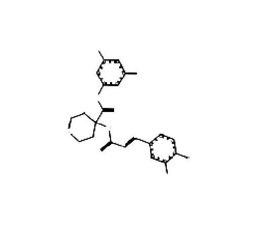 C=C(/C=C/c1ccc(F)c(Cl)c1)NC1(C(=O)Nc2cc(C(F)(F)F)cc(C(F)(F)F)c2)CCNCC1